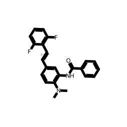 CN(C)c1ccc(/C=C/c2c(F)cccc2F)cc1NC(=O)c1ccccc1